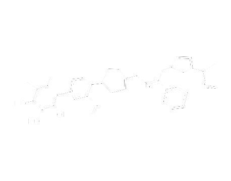 C=Cc1cc(-c2c(C)c(C)c(O)c(O)c2O)ccc1C1=CC=C(C/N=C(\CC2C=C=C(C(C)N=C)C2)c2ccccc2)CC1